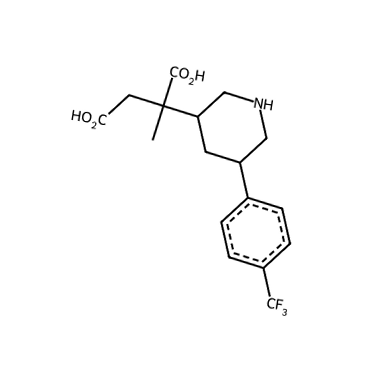 CC(CC(=O)O)(C(=O)O)C1CNCC(c2ccc(C(F)(F)F)cc2)C1